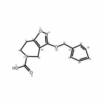 O=C(O)N1CCc2onc(OCc3ccccc3)c2C1